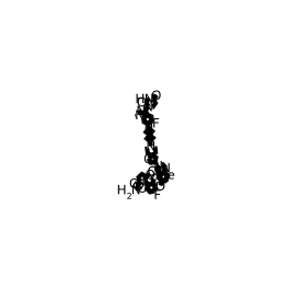 COC1CCN(S(N)(=O)=O)C1c1ccc(F)c(Oc2ccc3ncn([C@H]4COC5(CCN(C6CC7(C6)CN(c6cc8c(cc6F)c(N6CCC(=O)NC6=O)nn8C)C7)CC5)C4)c(=O)c3c2)c1C#N